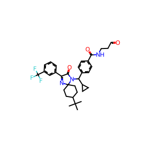 CC(C)(C)C1CCC2(CC1)N=C(c1cccc(C(F)(F)F)c1)C(=O)N2C(c1ccc(C(=O)NCCC=O)cc1)C1CC1